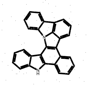 c1ccc2c(c1)[nH]c1c3ccccc3c3c4cccc5c6ccccc6n(c54)c3c21